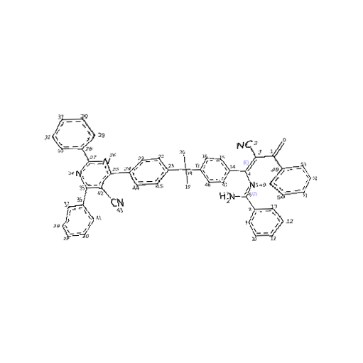 C=C(/C(C#N)=C(\N=C(/N)c1ccccc1)c1ccc(C(C)(C)c2ccc(-c3nc(-c4ccccc4)nc(-c4ccccc4)c3C#N)cc2)cc1)c1ccccc1